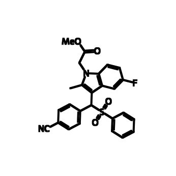 COC(=O)Cn1c(C)c(C(c2ccc(C#N)cc2)S(=O)(=O)c2ccccc2)c2cc(F)ccc21